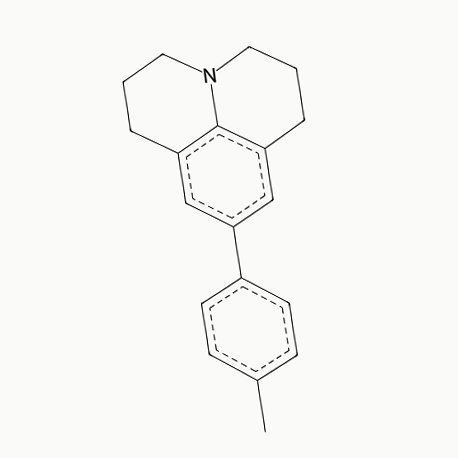 Cc1ccc(-c2cc3c4c(c2)CCCN4CCC3)cc1